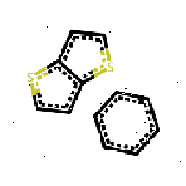 c1cc2sccc2s1.c1ccccc1